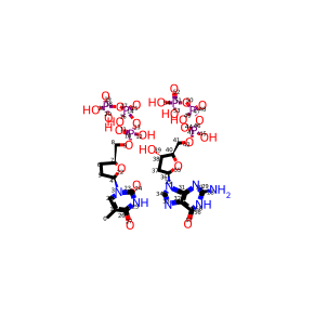 Cc1cn([C@H]2CC[C@@H](COP(=O)(O)OP(=O)(O)OP(=O)(O)O)O2)c(=O)[nH]c1=O.Nc1nc2c(ncn2[C@H]2C[C@H](O)[C@@H](COP(=O)(O)OP(=O)(O)OP(=O)(O)O)O2)c(=O)[nH]1